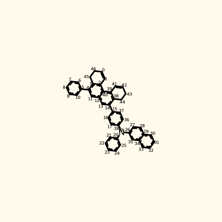 C1=Cc2c(c(-c3ccccc3)cc3cc(-c4ccc(N(c5ccccc5)c5ccc6ccccc6c5)cc4)c4c(c23)C=CCC4)CC1